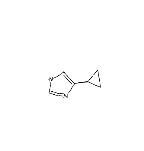 C1=NC(C2CC2)=C[N]1